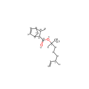 C=CC(C)CCCC(C)(OC(=O)C1C2C=CC(C2)C1C)C(F)(F)F